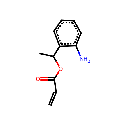 C=CC(=O)OC(C)c1ccccc1N